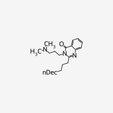 CCCCCCCCCCCCCc1nc2ccccc2c(=O)n1CCCN(C)C